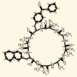 CC1NC(=O)C(C)(C)NC(=O)C(Cc2ccc3ccccc3c2)NC(=O)C(C)(C)NC(=O)C(Cc2ccc(C(=O)c3ccccc3)cc2)NC(=O)C(C)(C)NC(=O)[C@@H](C)NC(=O)C(C)(C)NC1=O